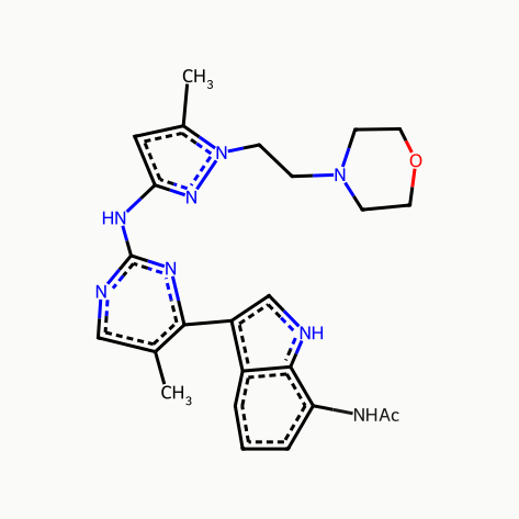 CC(=O)Nc1cccc2c(-c3nc(Nc4cc(C)n(CCN5CCOCC5)n4)ncc3C)c[nH]c12